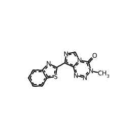 Cn1nnc2c(-c3nc4ccccc4s3)ncn2c1=O